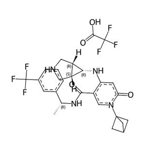 C[C@@H](NC(=O)c1cn(C23CC(C2)C3)c(=O)cc1N[C@@H]1[C@@H]2CNC[C@@H]21)c1cccc(C(F)(F)F)c1.O=C(O)C(F)(F)F